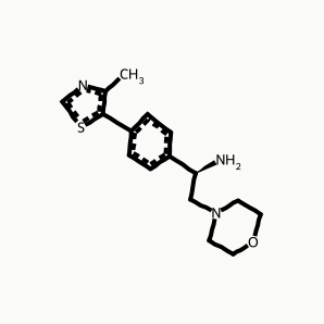 Cc1ncsc1-c1ccc([C@@H](N)CN2CCOCC2)cc1